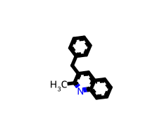 Cc1nc2ccccc2cc1Cc1ccccc1